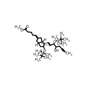 CC#CCC(S)C(/C=C/[C@H]1C(O[Si](C)(C)C(C)(C)C)C[C@@H]2C/C(=C\CCCC(=O)OC)C[C@@H]21)O[Si](C)(C)C(C)(C)C